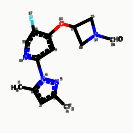 Cc1cc(C(F)(F)F)nn1-c1cc(OC2CN(C=O)C2)c(F)cn1